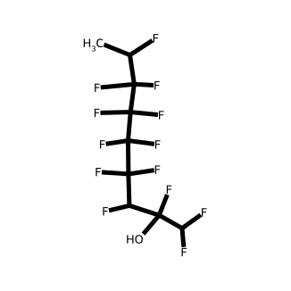 CC(F)C(F)(F)C(F)(F)C(F)(F)C(F)(F)C(F)C(O)(F)[C](F)F